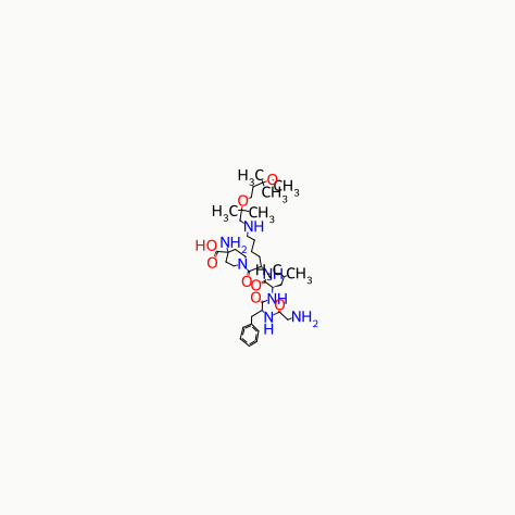 COC(C)(C)CCOC(C)(C)CNCCCCC(NC(=O)[C@@H](CC(C)C)NC(=O)C(Cc1ccccc1)NC(=O)CN)C(=O)N1CCC(N)(C(=O)O)CC1